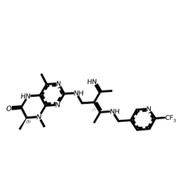 CC(=N)/C(CNc1nc(C)c2c(n1)N(C)[C@@H](C)C(=O)N2)=C(/C)NCc1ccc(C(F)(F)F)nc1